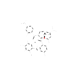 Cc1ccc(/C(=C\C2(/C=C(\c3ccc(C)cc3)c3ccc(N(C)C)cc3C)OC(=O)c3c(Br)c(Br)c(Br)c(Br)c32)c2ccc(N(C)C)cc2C)cc1